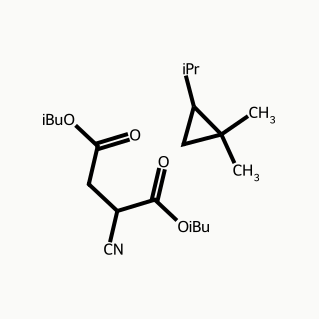 CC(C)C1CC1(C)C.CC(C)COC(=O)CC(C#N)C(=O)OCC(C)C